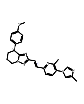 COc1ccc([C@@H]2CCCn3nc(/C=C/c4ccc(-n5cnc(C)c5)c(C)n4)nc32)cc1